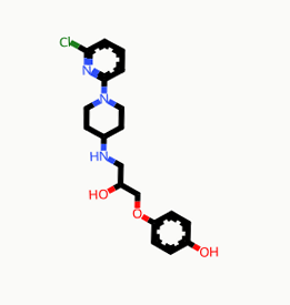 Oc1ccc(OCC(O)CNC2CCN(c3cccc(Cl)n3)CC2)cc1